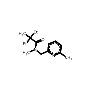 CCC(C)(CC)C(=O)N(C)Cc1cccc(C)n1